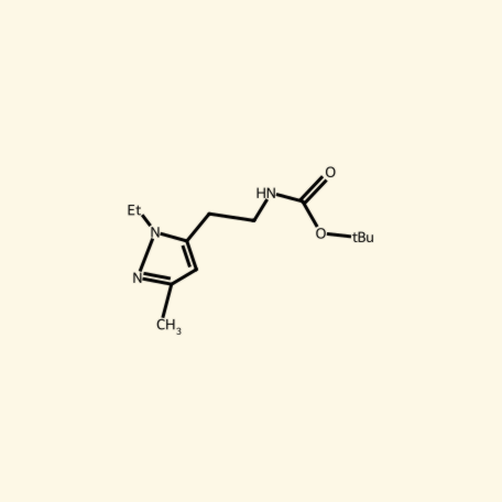 CCn1nc(C)cc1CCNC(=O)OC(C)(C)C